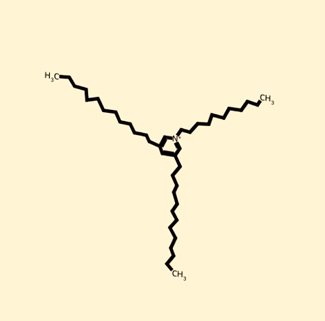 CCCCCCCCCCCCCc1cc(CCCCCCCCCCCCC)c[n+](CCCCCCCCCCC)c1